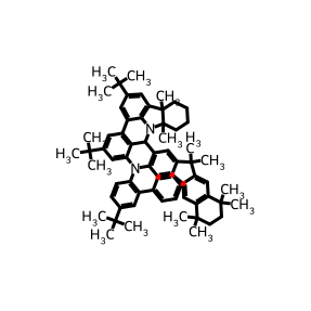 CC(C)(C)c1ccc(N2c3cc4c(cc3C3c5c(cc(C(C)(C)C)cc52)-c2cc(C(C)(C)C)cc5c2N3C2(C)CCCCC52C)C(C)(C)c2cc3c(cc2-4)C(C)(C)CCC3(C)C)c(-c2ccccc2)c1